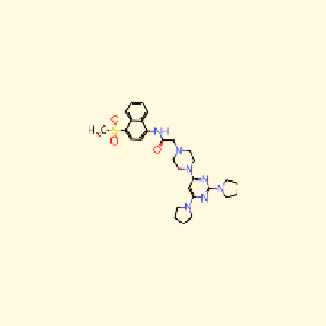 CS(=O)(=O)c1ccc(NC(=O)CN2CCN(c3cc(N4CCCC4)nc(N4CCCC4)n3)CC2)c2ccccc12